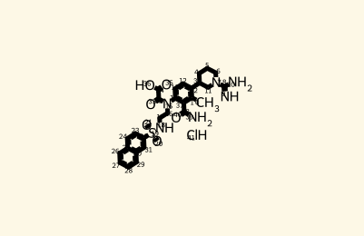 Cc1c(C2CCCN(C(=N)N)C2)ccc(N(CCNS(=O)(=O)c2ccc3ccccc3c2)C(=O)C(=O)O)c1C(N)=O.Cl